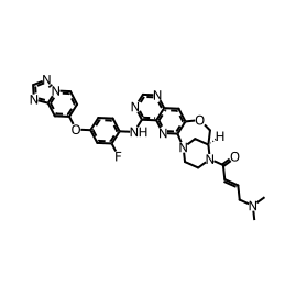 CN(C)C/C=C/C(=O)N1CCN2C[C@H]1COc1cc3ncnc(Nc4ccc(Oc5ccn6ncnc6c5)cc4F)c3nc12